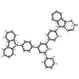 C1=Cc2c(c3ccccc3n2-c2ccc(-c3cc(-c4ccc(-n5c6ccccc6c6cnccc65)cc4)cc(-c4ccccn4)n3)cn2)CN1